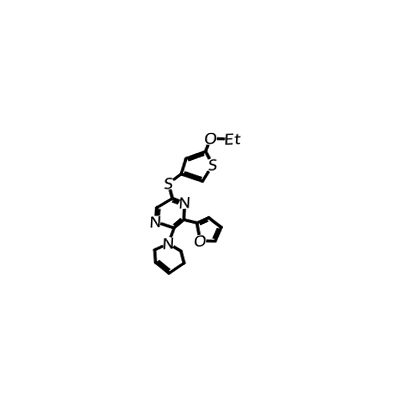 CCOc1cc(Sc2cnc(N3CC=CCC3)c(-c3ccco3)n2)cs1